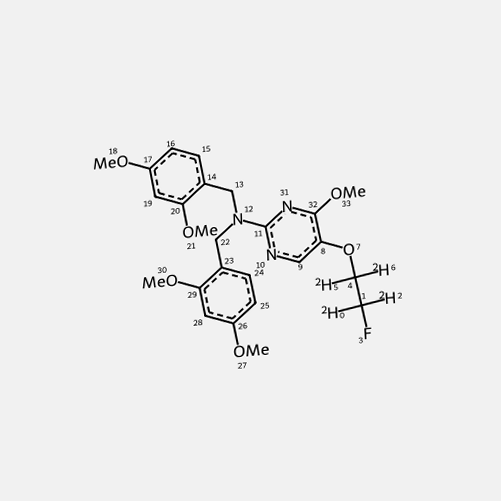 [2H]C([2H])(F)C([2H])([2H])Oc1cnc(N(Cc2ccc(OC)cc2OC)Cc2ccc(OC)cc2OC)nc1OC